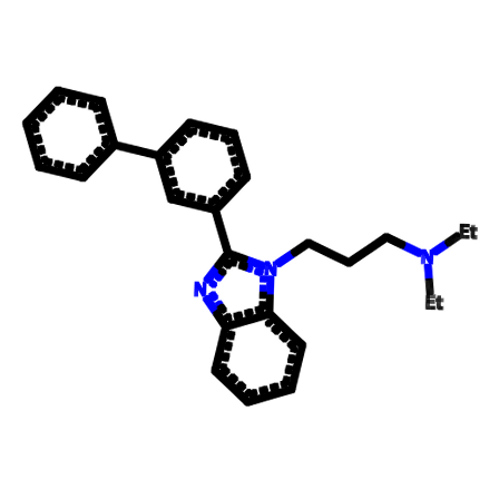 CCN(CC)CCCn1c(-c2cccc(-c3ccccc3)c2)nc2ccccc21